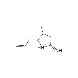 C=CCC1NC(=N)CC1C